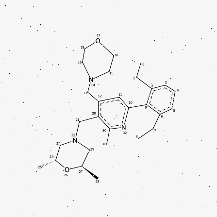 CCc1cccc(CC)c1-c1cc(CN2CCOCC2)c(CN2C[C@@H](C)O[C@H](C)C2)c(C)n1